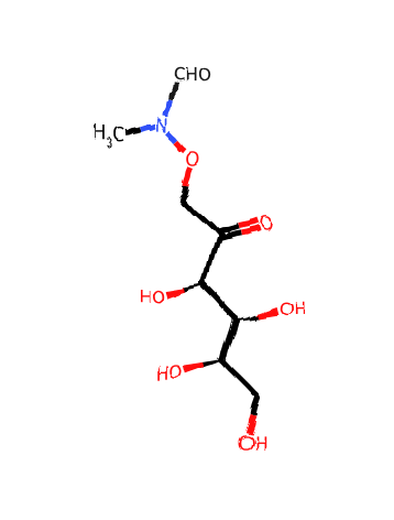 CN(C=O)OCC(=O)[C@H](O)[C@@H](O)[C@H](O)CO